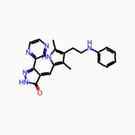 Cc1[nH]c(/C=C2/C(=O)NN=C2c2cnccn2)c(C)c1CCNc1ccccc1